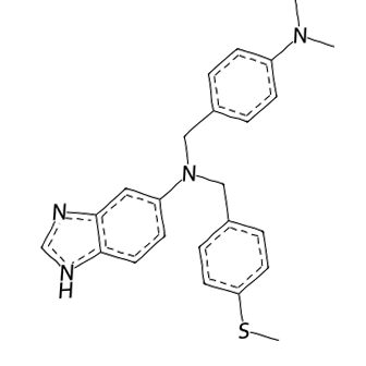 CSc1ccc(CN(Cc2ccc(N(C)C)cc2)c2ccc3[nH]cnc3c2)cc1